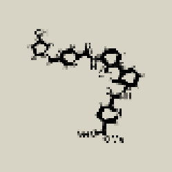 COC(OC)c1ccc(C(=O)Nc2cccc(-c3cccc(NC(=O)c4ccc(CN5CCC(O)C5)cn4)c3Cl)c2C)nc1